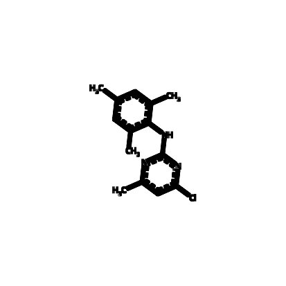 Cc1cc(C)c(Nc2nc(C)cc(Cl)n2)c(C)c1